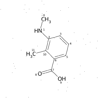 CNc1cccc(C(=O)O)c1C